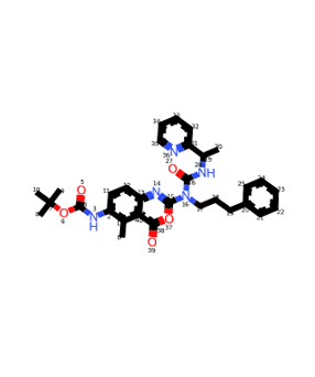 Cc1c(NC(=O)OC(C)(C)C)ccc2nc(N(CCCc3ccccc3)C(=O)NC(C)c3ccccn3)oc(=O)c12